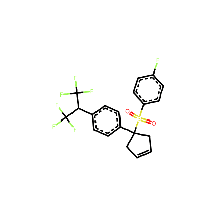 O=S(=O)(c1ccc(F)cc1)C1(c2ccc(C(C(F)(F)F)C(F)(F)F)cc2)CC=CC1